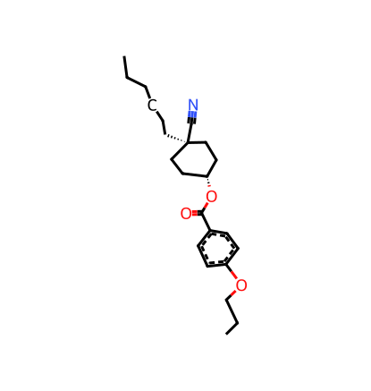 CCCCCC[C@]1(C#N)CC[C@H](OC(=O)c2ccc(OCCC)cc2)CC1